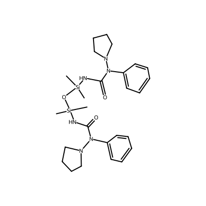 C[Si](C)(NC(=O)N(c1ccccc1)N1CCCC1)O[Si](C)(C)NC(=O)N(c1ccccc1)N1CCCC1